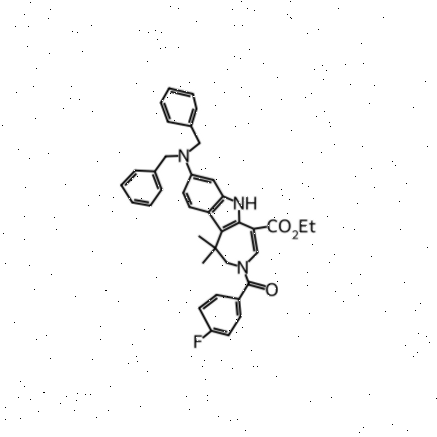 CCOC(=O)C1=CN(C(=O)c2ccc(F)cc2)CC(C)(C)c2c1[nH]c1cc(N(Cc3ccccc3)Cc3ccccc3)ccc21